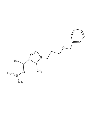 CC1N(CCCOCc2ccccc2)C=CN1C(O[SiH](C)C)C(C)(C)C